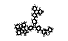 c1ccc(-c2ccc(-c3ccc(N(c4ccc(-c5ccc6oc7ccccc7c6c5)cc4)c4ccc(-c5cccc6c5-c5ccccc5C6(c5ccccc5)c5ccccc5)cc4)cc3)cc2-c2ccccc2)cc1